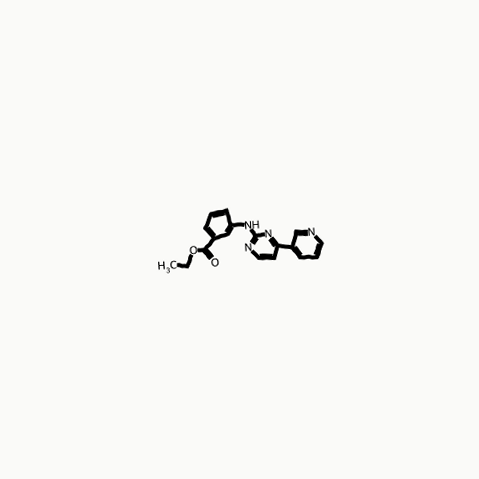 CCOC(=O)c1cccc(Nc2nccc(-c3cccnc3)n2)c1